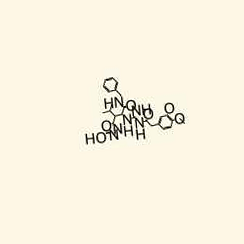 COc1ccc(CC(=O)NC(=N)NC(C(=O)NCc2ccccc2)C(c2nnc(O)o2)C(C)C)cc1OC